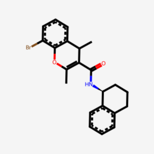 CC1=C(C(=O)N[C@H]2CCCc3ccccc32)C(C)c2cccc(Br)c2O1